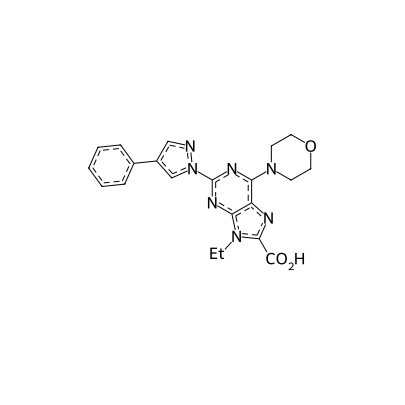 CCn1c(C(=O)O)nc2c(N3CCOCC3)nc(-n3cc(-c4ccccc4)cn3)nc21